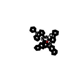 c1ccc(-n2c3ccccc3c3c(-c4nc(-c5ccc6ccccc6c5)nc(-c5c(-n6c7ccccc7c7cc8ccccc8cc76)ccc6c5oc5ccccc56)n4)cccc32)cc1